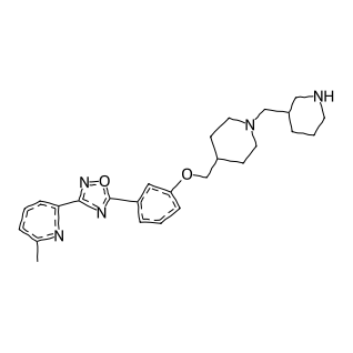 Cc1cccc(-c2noc(-c3cccc(OCC4CCN(CC5CCCNC5)CC4)c3)n2)n1